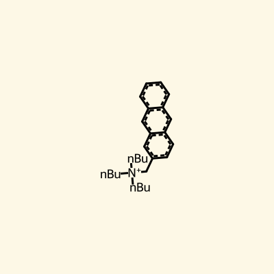 CCCC[N+](CCCC)(CCCC)Cc1ccc2cc3ccccc3cc2c1